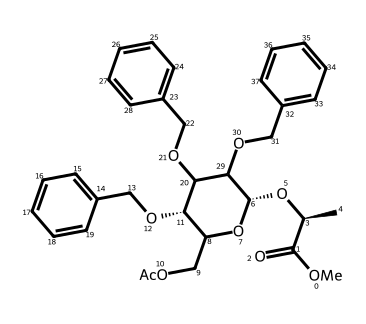 COC(=O)[C@H](C)O[C@@H]1OC(COC(C)=O)[C@H](OCc2ccccc2)C(OCc2ccccc2)C1OCc1ccccc1